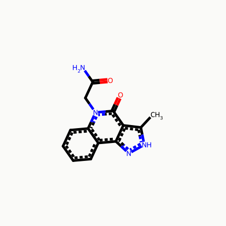 Cc1[nH]nc2c1c(=O)n(CC(N)=O)c1ccccc21